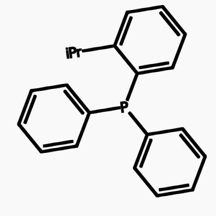 CC(C)c1ccccc1P(c1ccccc1)c1ccccc1